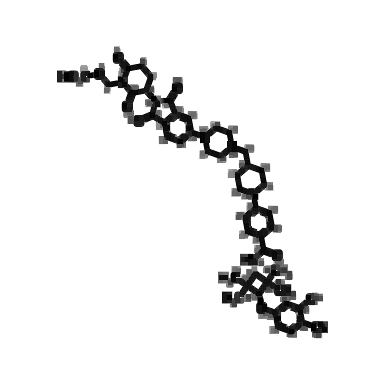 CCOC(=O)OCN1C(=O)CCC(N2C(=O)c3ccc(N4CCN(CC5CCN(c6ccc(C(=O)N[C@H]7C(C)(C)[C@H](Oc8ccc(C#N)c(Cl)c8)C7(C)C)cc6)CC5)CC4)cc3C2=O)C1=O